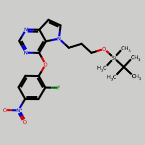 CC(C)(C)[Si](C)(C)OCCCn1ccc2ncnc(Oc3ccc([N+](=O)[O-])cc3F)c21